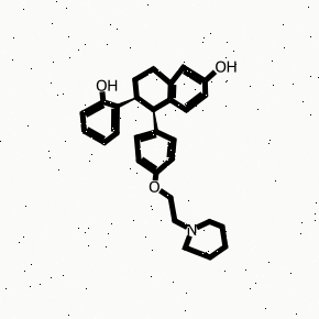 Oc1ccc2c(c1)CC[C@H](c1ccccc1O)[C@@H]2c1ccc(OCCN2CCCCC2)cc1